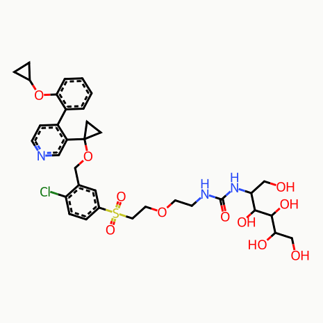 O=C(NCCOCCS(=O)(=O)c1ccc(Cl)c(COC2(c3cnccc3-c3ccccc3OC3CC3)CC2)c1)NC(CO)C(O)C(O)C(O)CO